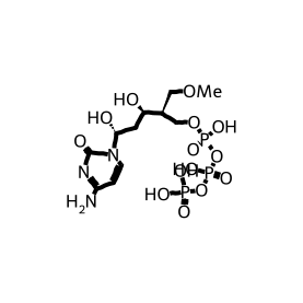 COC[C@@H](COP(=O)(O)OP(=O)(O)OP(=O)(O)O)[C@H](O)C[C@@H](O)n1ccc(N)nc1=O